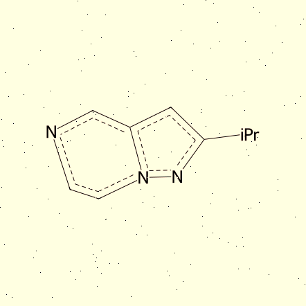 CC(C)c1cc2cnccn2n1